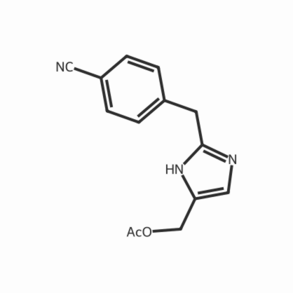 CC(=O)OCc1cnc(Cc2ccc(C#N)cc2)[nH]1